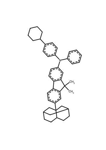 CC1(C)c2cc(N(c3ccccc3)c3ccc(C4CCCCC4)cc3)ccc2-c2ccc(C34CC5CCC3CCC(C5)C4)cc21